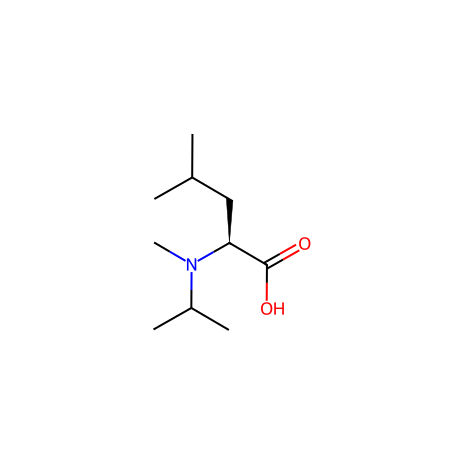 CC(C)C[C@@H](C(=O)O)N(C)C(C)C